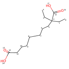 CCC(CC)(CCCCCCCC(=O)O)C(=O)O